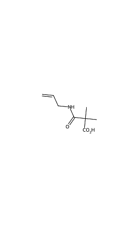 C=CCNC(=O)C(C)(C)C(=O)O